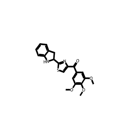 COc1cc(C(=O)c2csc(C3Cc4ccccc4N3)n2)cc(OC)c1OC